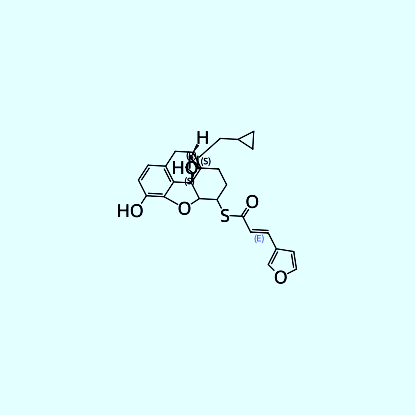 O=C(/C=C/c1ccoc1)SC1CC[C@@]2(O)[C@H]3Cc4ccc(O)c5c4[C@@]2(CCN3CC2CC2)C1O5